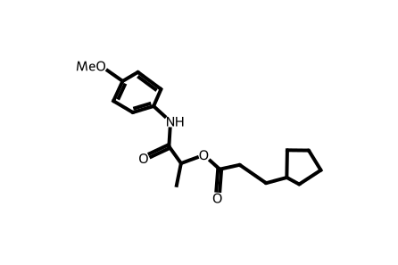 COc1ccc(NC(=O)C(C)OC(=O)CCC2CCCC2)cc1